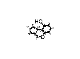 Oc1cccc2occ3cccc-3c12